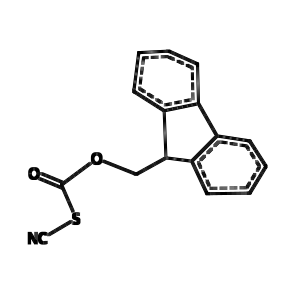 N#CSC(=O)OCC1c2ccccc2-c2ccccc21